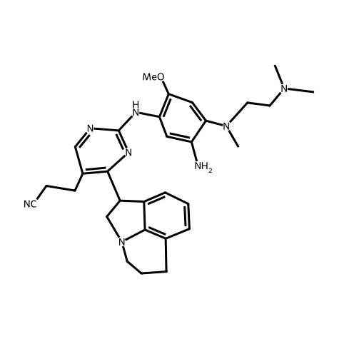 COc1cc(N(C)CCN(C)C)c(N)cc1Nc1ncc(CCC#N)c(C2CN3CCCc4cccc2c43)n1